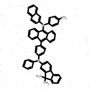 Cc1ccc(N(c2ccc3ccccc3c2)c2c3ccccc3c(-c3ccc(N(c4ccccc4)c4ccc5c(c4)C(C)(C)c4ccccc4-5)cc3)c3ccccc23)cc1